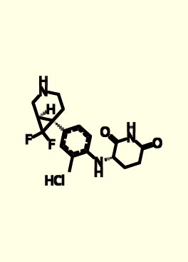 Cc1cc([C@@]23CCNC[C@@H]2C3(F)F)ccc1N[C@H]1CCC(=O)NC1=O.Cl